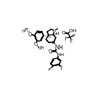 CCCOc1ccc([C@@]23CC[C@@H](NC(=O)Nc4ccc(F)c(F)c4)C[C@@H]2N(C)CC3)cc1OCCC.O=C(O)C(F)(F)F